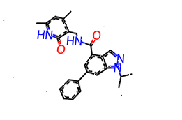 Cc1cc(C)c(CNC(=O)c2cc(-c3ccccc3)cc3c2cnn3C(C)C)c(=O)[nH]1